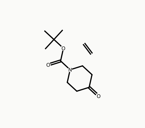 C=C.CC(C)(C)OC(=O)N1CCC(=O)CC1